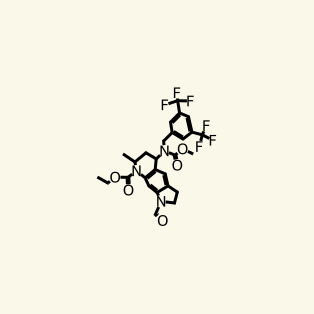 CCOC(=O)N1c2cc3c(cc2C(N(Cc2cc(C(F)(F)F)cc(C(F)(F)F)c2)C(=O)OC)CC1C)CCN3C=O